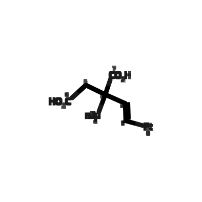 CCC=CC(CCCC)(CC(=O)O)C(=O)O